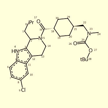 CC(C)CC1c2[nH]c3ccc(Cl)cc3c2CCN1C(=O)[C@H]1CC[C@H](CN(C)C(=O)OC(C)(C)C)CC1